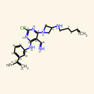 C=CCCCNC1CN(c2nc(Cl)nc(Nc3cccc(C(=C)CCC)c3)c2C=N)C1